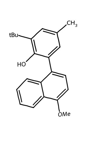 COc1ccc(-c2cc(C)cc(C(C)(C)C)c2O)c2ccccc12